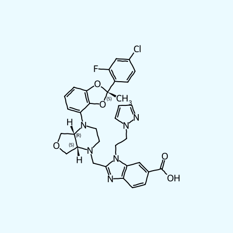 C[C@]1(c2ccc(Cl)cc2F)Oc2cccc(N3CCN(Cc4nc5ccc(C(=O)O)cc5n4CCn4cccn4)[C@@H]4COC[C@@H]43)c2O1